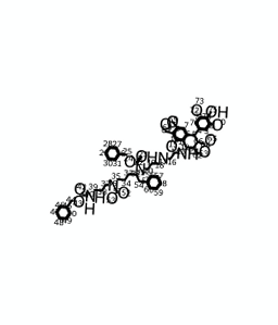 COc1cc(C2c3cc4c(cc3C(NC(=O)CNCCCN(C(=O)OCc3ccccc3)C(CCCN(CCCNC(=O)OCc3ccccc3)C(=O)O)Cc3ccccc3)C3COC(=O)C23)COO4)cc(OC)c1O